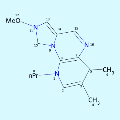 CCCN1C=C(C)C(C)C2=C1N1CN(OC)C=C1C=N2